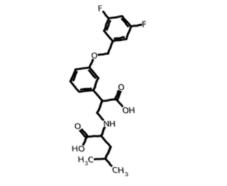 CC(C)CC(NCC(C(=O)O)c1cccc(OCc2cc(F)cc(F)c2)c1)C(=O)O